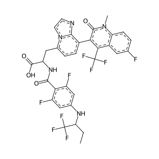 CCC(Nc1cc(F)c(C(=O)NC(Cc2ccc(-c3c(C(F)(F)F)c4cc(F)ccc4n(C)c3=O)c3nccn23)C(=O)O)c(F)c1)C(F)(F)F